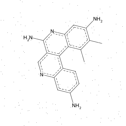 Cc1c(N)cc2nc(N)c3cnc4cc(N)ccc4c3c2c1C